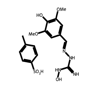 COc1cc(/C=N/NC(=N)NO)cc(OC)c1O.Cc1ccc(S(=O)(=O)O)cc1